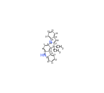 CC1(C)c2c(ccc3[nH]c4ccccc4c23)-n2c1cc1ccccc12